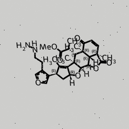 COC(=O)C(C)[C@H]1[C@]2(C)C3=C(C)[C@H](c4cocc4CCNN)C[C@H]3O[C@@H]2[C@@H]2OC(=O)[C@]3(C)C=CC(=O)[C@@]1(C)[C@@H]23